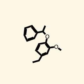 CCc1ccc(OC(C)c2ccccc2)c(OC)c1